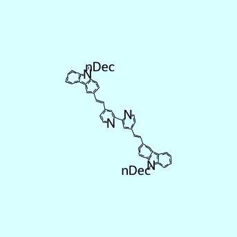 CCCCCCCCCCn1c2ccccc2c2cc(/C=C/c3ccnc(-c4cc(/C=C/c5ccc6c(c5)c5ccccc5n6CCCCCCCCCC)ccn4)c3)ccc21